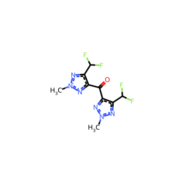 Cn1nc(C(=O)c2nn(C)nc2C(F)F)c(C(F)F)n1